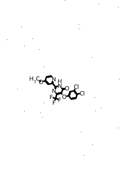 COc1ccnc(-c2nc(C(F)(F)F)c(Oc3ccc(Cl)c(Cl)c3)c(=O)[nH]2)c1